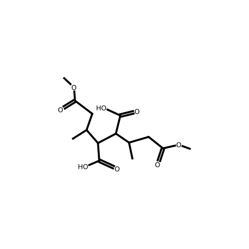 COC(=O)CC(C)C(C(=O)O)C(C(=O)O)C(C)CC(=O)OC